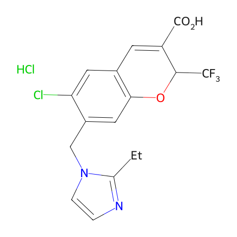 CCc1nccn1Cc1cc2c(cc1Cl)C=C(C(=O)O)C(C(F)(F)F)O2.Cl